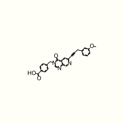 COc1cccc(CC#Cc2cc3c(=O)n(Cc4ccc(C(=O)O)cc4)cnc3cn2)c1